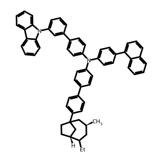 CCC1C[C@H](C)CC2(c3ccc(-c4ccc(N(c5ccc(-c6cccc(-n7c8ccccc8c8ccccc87)c6)cc5)c5ccc(-c6cccc7ccccc67)cc5)cc4)cc3)CC[C@@H]1C2